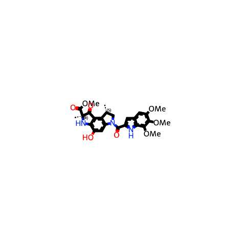 COC(=O)[C@]1(C)Nc2c(O)cc3c(c2C1=O)[C@H](C)CN3C(=O)c1cc2cc(OC)c(OC)c(OC)c2[nH]1